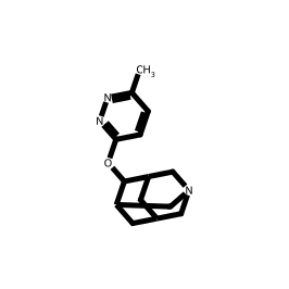 Cc1ccc(OC2C3CC4CC2CN(C4)C3)nn1